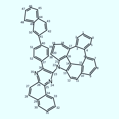 c1ccc2c(c1)-c1cccc3ccc4c(c13)c1c-2cccc1n4-c1nc2c(ccc3ccccc32)nc1-c1ccc(-c2ccc3ccccc3c2)cc1